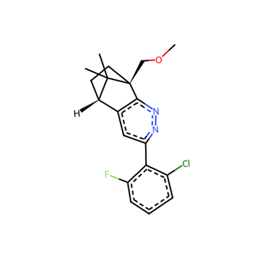 COC[C@@]12CC[C@@H](c3cc(-c4c(F)cccc4Cl)nnc31)C2(C)C